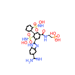 N=C(N)c1ccc2[nH]c(-c3cc(C(=O)NCCP(=O)(O)O)cc(-c4ccccc4S(=O)(=O)NO)c3S(=O)(=O)NO)nc2c1